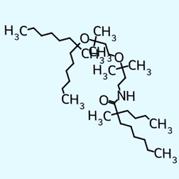 CCCCCCC(C)(CCCCCC)OC(C)(C)CCOC(C)(C)CCNC(=O)C(C)(CCCC)CCCCCC